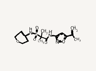 C=C(C)c1cc(NC(=O)C(C)(C)S(=O)(=O)NC2CCOCC2)no1